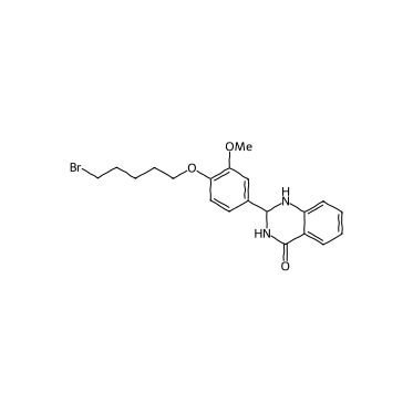 COc1cc(C2NC(=O)c3ccccc3N2)ccc1OCCCCCBr